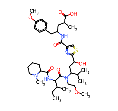 CCC(C)C(NC(=O)C1CCCCN1C)C(=O)N(CCOC)C(CC(O)c1nc(C(=O)NC(Cc2ccc(OC)cc2)CC(C)C(=O)O)cs1)C(C)C